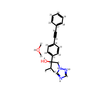 CC(C)C(O)(Cn1cncn1)c1ccc(C#Cc2ccccc2)cc1.COC